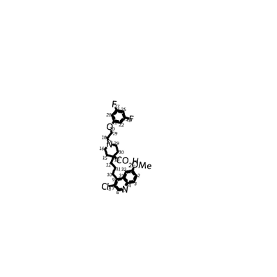 COc1ccc2ncc(Cl)c(CCCC3(C(=O)O)CCN(CCOc4cc(F)cc(F)c4)CC3)c2c1